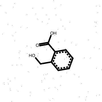 O=C(O)c1ccccc1CO